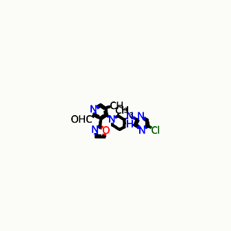 Cc1cnc(C=O)c(-c2ncco2)c1N1CCC[C@@H](Nc2cnc(Cl)cn2)[C@@H]1C